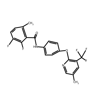 Cc1cnc(Oc2ccc(NC(=O)c3c(C)ccc(F)c3F)cc2)c(C(F)(F)F)c1